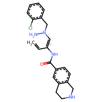 C=C/C(=C\N(N)Cc1ccccc1Cl)NC(=O)c1ccc2c(c1)CCNC2